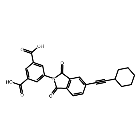 O=C(O)c1cc(C(=O)O)cc(N2C(=O)c3ccc(C#CC4CCCCC4)cc3C2=O)c1